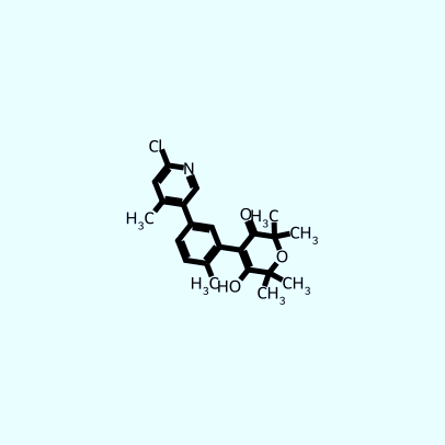 Cc1ccc(-c2cnc(Cl)cc2C)cc1C1=C(O)C(C)(C)OC(C)(C)C1=O